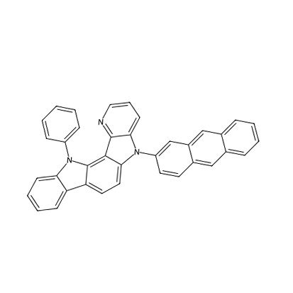 c1ccc(-n2c3ccccc3c3ccc4c(c5ncccc5n4-c4ccc5cc6ccccc6cc5c4)c32)cc1